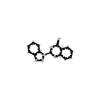 O=c1oc(-n2nnc3ccccc32)nc2ccccc12